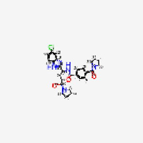 Cc1cc(C(=O)NC(CCC(=O)N2CCCC2)c2nc3cc(Cl)ccc3[nH]2)ccc1C(=O)N1CCCC1